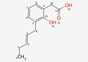 CCC=CCc1cccc(CC(=O)O)c1O